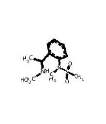 CC(NC(=O)O)c1ccccc1N(C)S(C)(=O)=O